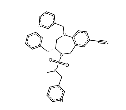 CN(Cc1cccnc1)S(=O)(=O)N1Cc2cc(C#N)ccc2N(Cc2cccnc2)C[C@H]1Cc1ccccc1